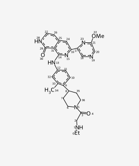 CCNCC(=O)N1CCC(c2ccc(Nc3nc(-c4cncc(OC)n4)cc4cc[nH]c(=O)c34)cc2C)CC1